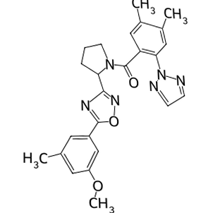 COc1cc(C)cc(-c2nc(C3CCCN3C(=O)c3cc(C)c(C)cc3-n3nccn3)no2)c1